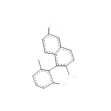 COc1cccc(C=O)c1-c1c(OC)ccc2cc(C=O)ccc12